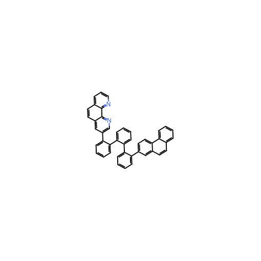 c1ccc(-c2ccccc2-c2ccccc2-c2cnc3c(ccc4cccnc43)c2)c(-c2ccc3c(ccc4ccccc43)c2)c1